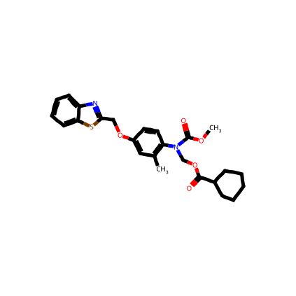 COC(=O)N(COC(=O)C1CCCCC1)c1ccc(OCc2nc3ccccc3s2)cc1C